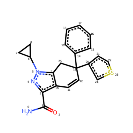 NC(=O)c1nn(C2CC2)c2c1C=CC(c1ccccc1)(c1ccsc1)C2